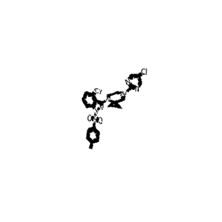 Cc1ccc(S(=O)(=O)n2nc(N3CCN(c4ncc(Cl)cn4)CC34CC4)c3c(Cl)cccc32)cc1